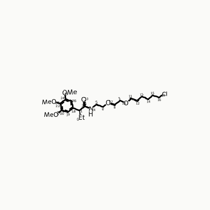 CC[C@H](C(=O)NCCOCCOCCCCCCCl)c1cc(OC)c(OC)c(OC)c1